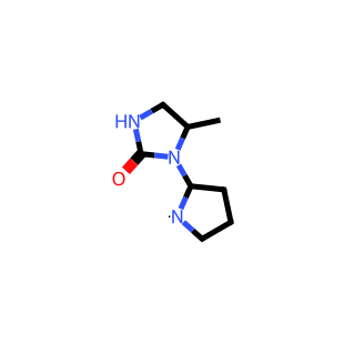 CC1CNC(=O)N1C1CCC[N]1